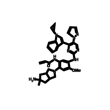 C=CC(=O)Nc1cc(Nc2ncc(-n3cccn3)c(-c3cn(C4CC4)c4ccccc34)n2)c(OC)cc1N1CC2CC(C)(N)CC2C1